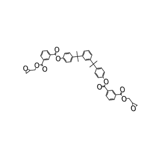 CC(C)(c1ccc(OC(=O)c2cccc(C(=O)OCC3CO3)c2)cc1)c1cccc(C(C)(C)c2ccc(OC(=O)c3cccc(C(=O)OCC4CO4)c3)cc2)c1